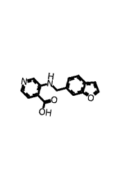 O=C(O)c1ccncc1NCc1ccc2ccoc2c1